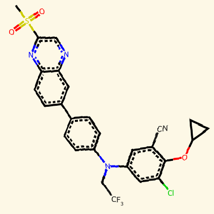 CS(=O)(=O)c1cnc2cc(-c3ccc(N(CC(F)(F)F)c4cc(Cl)c(OC5CC5)c(C#N)c4)cc3)ccc2n1